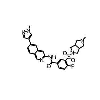 CN1CC2CN(S(=O)(=O)c3cc(C(=O)Nc4cc5cc(-c6cnn(C)c6)ccc5cn4)ccc3F)CC2C1